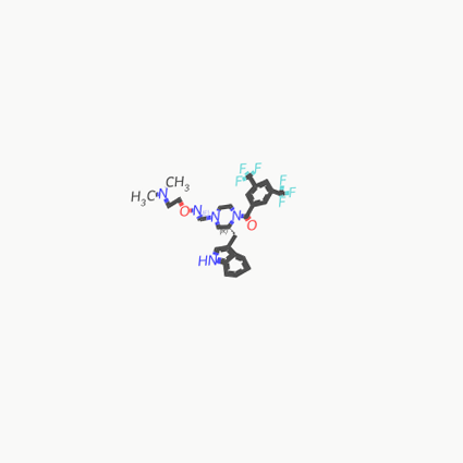 CN(C)CCO/N=C/N1CCN(C(=O)c2cc(C(F)(F)F)cc(C(F)(F)F)c2)[C@H](Cc2c[nH]c3ccccc23)C1